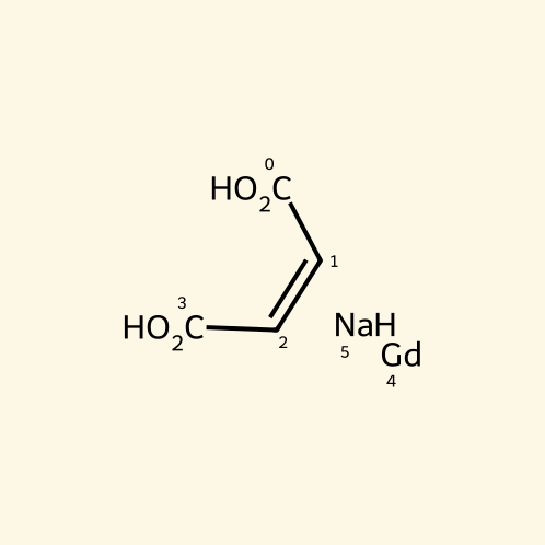 O=C(O)/C=C\C(=O)O.[Gd].[NaH]